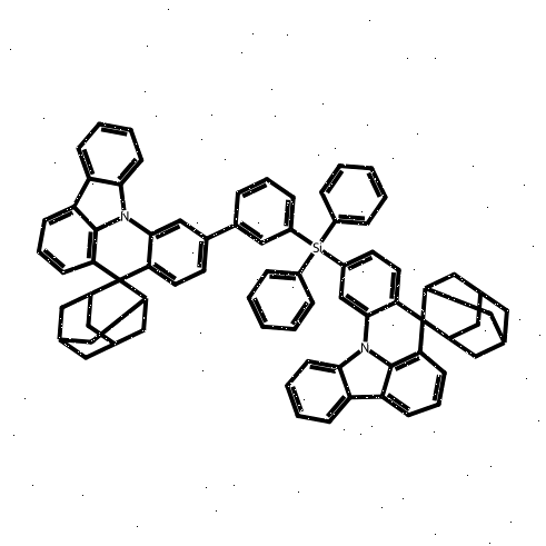 c1ccc([Si](c2ccccc2)(c2cccc(-c3ccc4c(c3)-n3c5ccccc5c5cccc(c53)C43C4CC5CC(C4)CC3C5)c2)c2ccc3c(c2)-n2c4ccccc4c4cccc(c42)C32C3CC4CC(C3)CC2C4)cc1